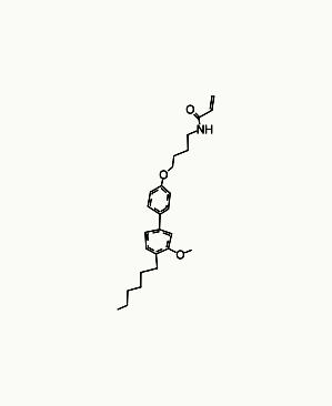 C=CC(=O)NCCCCOc1ccc(-c2ccc(CCCCCC)c(OC)c2)cc1